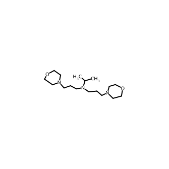 CC(C)N(CCCN1CCOCC1)CCCN1CCOCC1